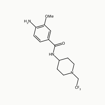 COc1cc(C(=O)NC2CCN(CC(F)(F)F)CC2)ccc1N